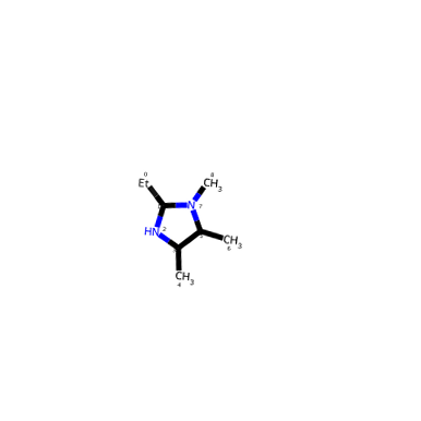 CCC1NC(C)C(C)N1C